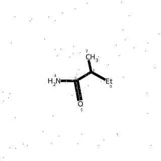 CCC(C)C(N)=O